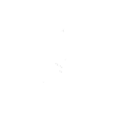 CCCCCC(C)(C)c1cc(-c2ccccc2)c(O)c(-n2nc3ccc(-c4ccccc4)cc3n2)c1